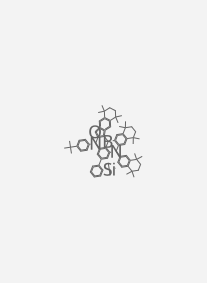 CC(C)(C)c1ccc(N2c3cc(-c4ccccc4[Si](C)(C)C)cc4c3B(c3cc5c(cc3N4c3ccc4c(c3)C(C)(C)CCC4(C)C)C(C)(C)CCC5(C)C)c3c2oc2cc4c(cc32)C(C)(C)CCC4(C)C)cc1